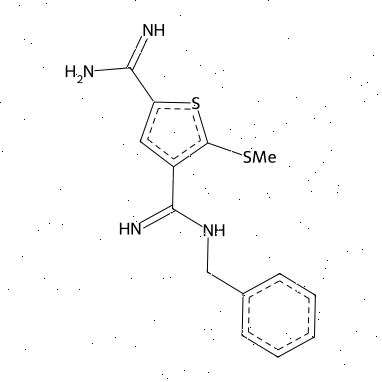 CSc1sc(C(=N)N)cc1C(=N)NCc1ccccc1